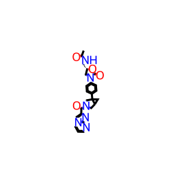 CC(=O)NC[C@H]1CN(c2ccc(C34CC3CN(C(=O)c3cn5cccnc5n3)C4)cc2)C(=O)O1